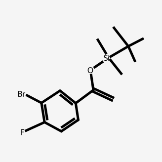 C=C(O[Si](C)(C)C(C)(C)C)c1ccc(F)c(Br)c1